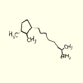 BC(C)CCCCCC[C@H]1CC[C@@H](C)C1C